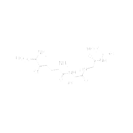 CC(C)[C@H](NC(=O)CNC(=O)[C@@H](NC(=O)[C@@H](N)CCC(Cl)C(N)C(=O)O)C(C)C)C(=O)O